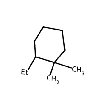 [CH2]CC1CCCCC1(C)C